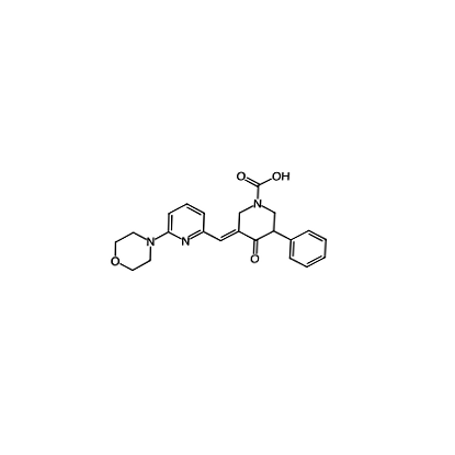 O=C1C(=Cc2cccc(N3CCOCC3)n2)CN(C(=O)O)CC1c1ccccc1